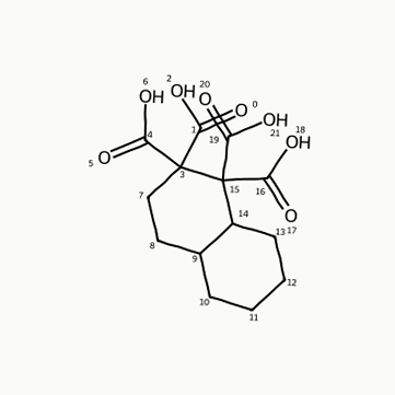 O=C(O)C1(C(=O)O)CCC2CCCCC2C1(C(=O)O)C(=O)O